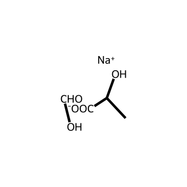 CC(O)C(=O)[O-].O=CO.[Na+]